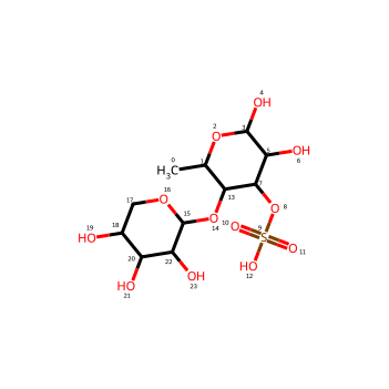 CC1OC(O)C(O)C(OS(=O)(=O)O)C1OC1OCC(O)C(O)C1O